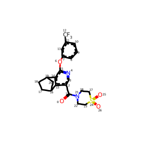 O=C(c1cnc(Oc2cccc(C(F)(F)F)c2)c2c1C1CCC2C1)N1CCS(=O)(=O)CC1